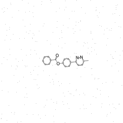 Cc1ccc(-c2ccc(OC(=O)c3ccccc3)cc2)nn1